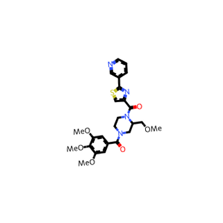 COCC1CN(C(=O)c2cc(OC)c(OC)c(OC)c2)CCN1C(=O)c1csc(-c2cccnc2)n1